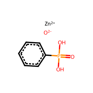 O=P(O)(O)c1ccccc1.[O-2].[Zn+2]